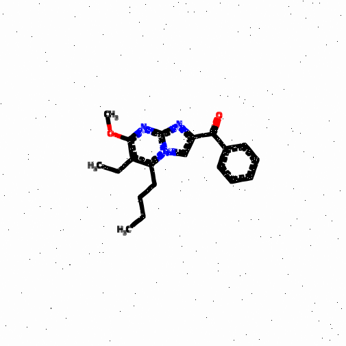 CCCCc1c(CC)c(OC)nc2nc(C(=O)c3ccccc3)cn12